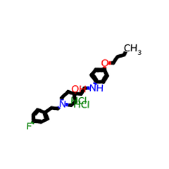 CCCCOc1ccc(NCCC2(O)CCN(CCc3ccc(F)cc3)CC2)cc1.Cl.Cl